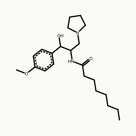 CCCCCCCC(=O)NC(CN1CCCC1)C(O)c1ccc(OC)cc1